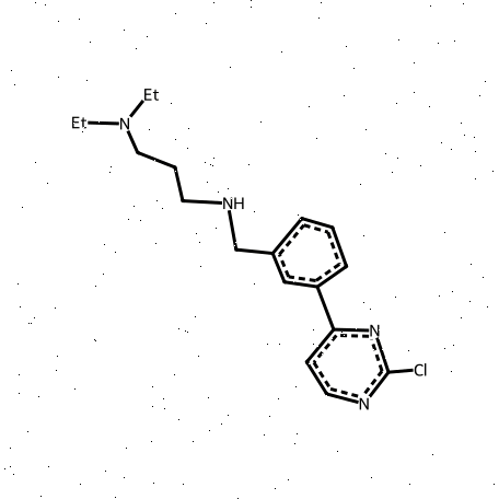 CCN(CC)CCCNCc1cccc(-c2ccnc(Cl)n2)c1